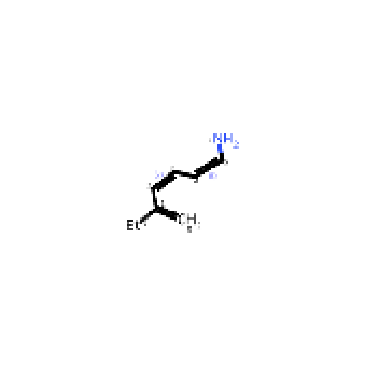 C=C(/C=C\C=C/N)CC